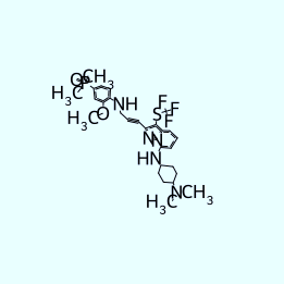 COc1cc(P(C)(C)=O)ccc1NCC#Cc1nn2c(NC3CCC(N(C)C)CC3)cccc2c1SC(F)(F)F